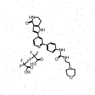 O=C(NCCN1CCOCC1)Nc1ccc(-c2cc(-c3cc4c([nH]3)CCNC4=O)ccn2)cc1.O=C(O)C(F)(F)F.O=C(O)C(F)(F)F